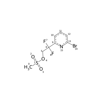 CS(=O)(=O)OCC(F)(F)c1cccc(Br)n1